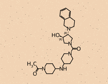 CC(=O)N1CCC(NC2CCN(C(=O)N3C[C@@H](O)[C@H](N4CCc5ccccc5C4)C3)CC2)CC1